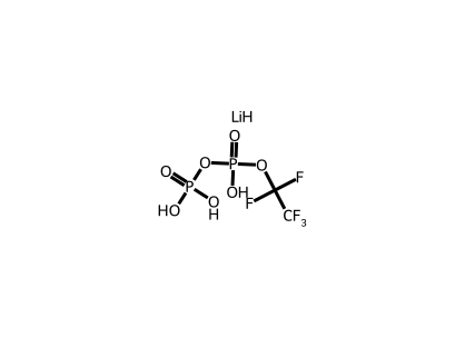 O=P(O)(O)OP(=O)(O)OC(F)(F)C(F)(F)F.[LiH]